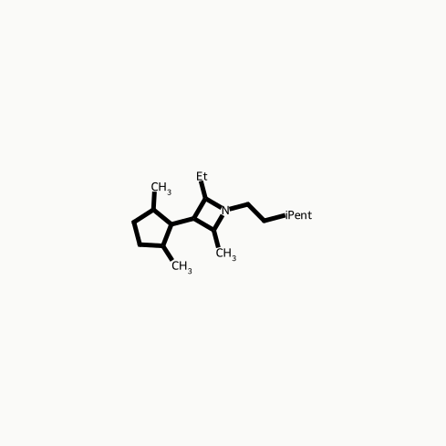 CCCC(C)CCN1C(C)C(C2C(C)CCC2C)C1CC